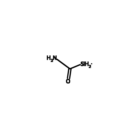 NC(=O)[SiH2]